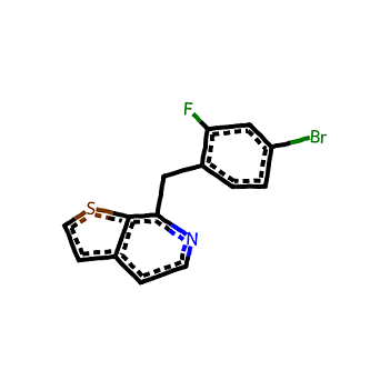 Fc1cc(Br)ccc1Cc1nccc2ccsc12